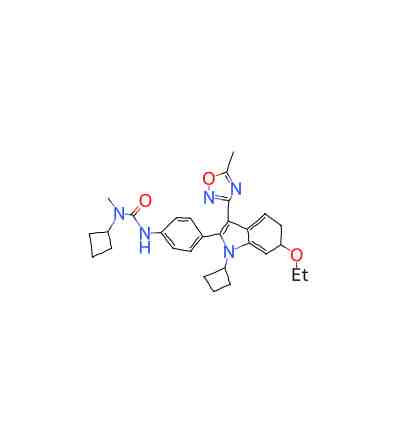 CCOC1C=c2c(c(-c3noc(C)n3)c(-c3ccc(NC(=O)N(C)C4CCC4)cc3)n2C2CCC2)=CC1